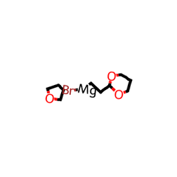 C1CCOC1.[Br][Mg][CH2]CC1OCCCO1